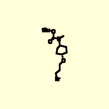 CN(C(=O)OC(C)(C)C)[C@H]1CC[C@H](OCCCBr)CC1